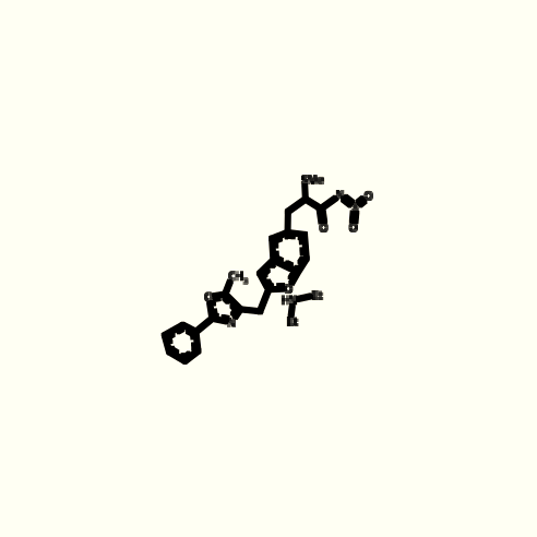 CCNCC.CSC(Cc1ccc2oc(Cc3nc(-c4ccccc4)oc3C)cc2c1)C(=O)N=S(=O)=O